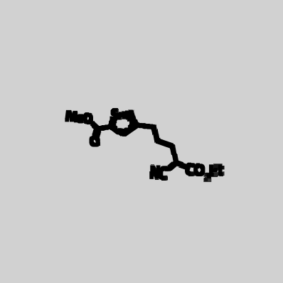 CCOC(=O)C(C#N)CCCc1csc(C(=O)OC)c1